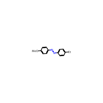 CCc1ccc(/N=N/c2ccc(OC)cc2)cc1